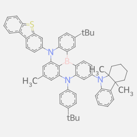 Cc1cc2c3c(c1)N(c1ccc(C(C)(C)C)cc1)c1cc(N4c5ccccc5C5(C)CCCCC45C)ccc1B3c1cc(C(C)(C)C)ccc1N2c1ccc2c(c1)sc1ccccc12